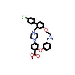 COC(=O)c1ccc(N2CCN(Cc3cc(OCCN(C)C)ccc3-c3ccc(Cl)cc3)CC2)cc1Oc1ccccc1